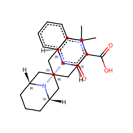 CC1(C)C[C@@H]2C[C@@H](C[C@@H](N3[C@@H]4CCC[C@H]3C[C@@H](n3c(=O)c(C(=O)O)nc5ccccc53)C4)C2)C1